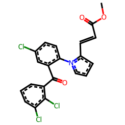 COC(=O)/C=C/c1cccn1-c1ccc(Cl)cc1C(=O)c1cccc(Cl)c1Cl